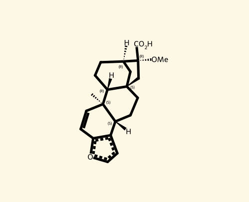 CO[C@]1(C(=O)O)C[C@@]23CC[C@@H]4c5ccoc5C=C[C@@]4(C)[C@@H]2CC[C@@H]1C3